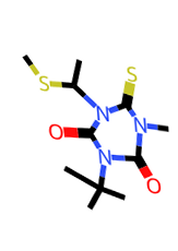 CSC(C)n1c(=S)n(C)c(=O)n(C(C)(C)C)c1=O